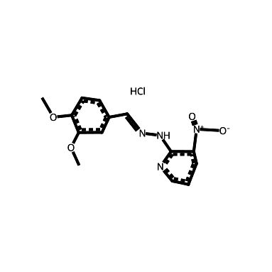 COc1ccc(C=NNc2ncccc2[N+](=O)[O-])cc1OC.Cl